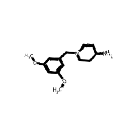 COc1cc(CN2CCC(N)CC2)cc(OC)c1